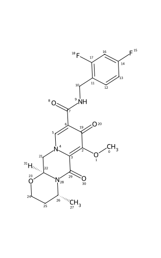 COc1c2n(cc(C(=O)NCc3ccc(F)cc3F)c1=O)C[C@@H]1OCC[C@@H](C)N1C2=O